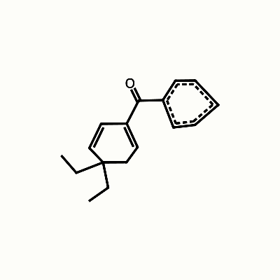 CCC1(CC)C=CC(C(=O)c2ccccc2)=CC1